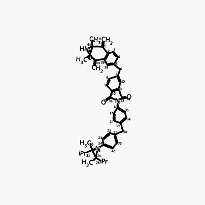 C=C1c2ccc(Cc3ccc4c(c3)C(=O)N(c3ccc(Cc5ccc(N6C(C)(C(C)C)C6(C)C(C)C)cc5)cc3)C4=O)cc2C(=C)C2(C)NC12C